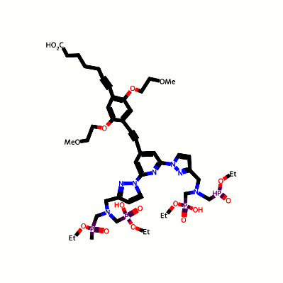 CCO[PH](=O)CN(Cc1ccn(-c2cc(C#Cc3cc(OCCOC)c(C#CCCCCC(=O)O)cc3OCCOC)cc(-n3ccc(CN(CP(C)(=O)OCC)CP(=O)(O)OCC)n3)n2)n1)CP(=O)(O)OCC